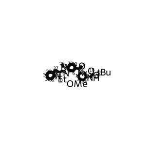 CCn1c(-c2nc3cc(C(=O)N4CC[C@@H](OC)[C@H](NC(=O)OC(C)(C)C)C4)ccc3n2C)cc2ccccc21